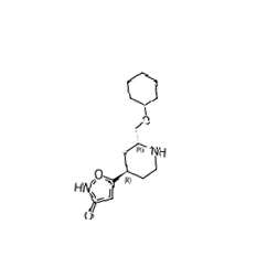 O=c1cc([C@@H]2CCN[C@@H](COC3CCCCC3)C2)o[nH]1